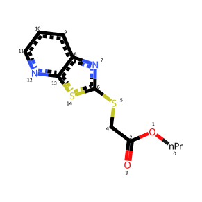 CCCOC(=O)CSc1nc2cccnc2s1